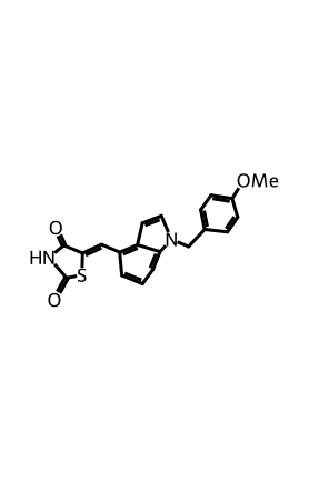 COc1ccc(Cn2ccc3c(/C=C4\SC(=O)NC4=O)cccc32)cc1